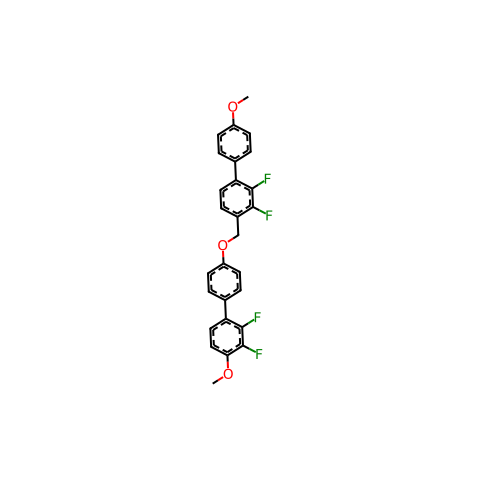 COc1ccc(-c2ccc(COc3ccc(-c4ccc(OC)c(F)c4F)cc3)c(F)c2F)cc1